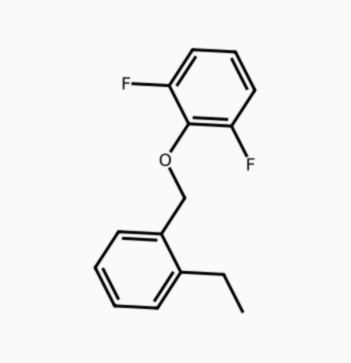 CCc1ccccc1COc1c(F)cccc1F